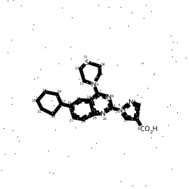 O=C(O)c1cnn(-c2nc(N3CCSCC3)c3cc(C4CCCCC4)ccc3n2)c1